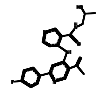 C=C(C)c1cnc(-c2ccc(F)cc2)cc1Nc1ccncc1C(=O)NCC(C)O